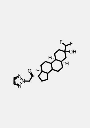 C[C@]12CCC3C(CC[C@@H]4C[C@@](O)(C(F)F)CC[C@H]34)C1CC[C@@H]2C(=O)Cn1nccn1